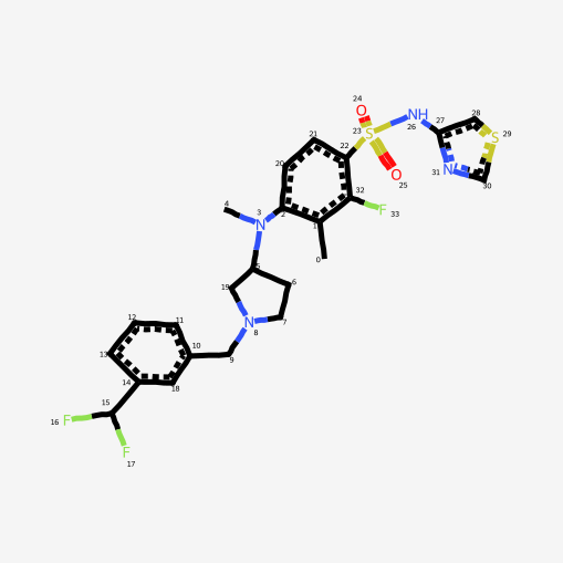 Cc1c(N(C)C2CCN(Cc3cccc(C(F)F)c3)C2)ccc(S(=O)(=O)Nc2cscn2)c1F